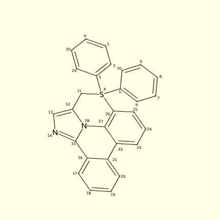 c1ccc(S2(c3ccccc3)Cc3cnc4c5ccccc5c5cccc2c5n34)cc1